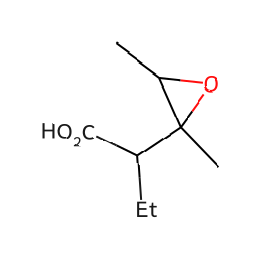 CCC(C(=O)O)C1(C)OC1C